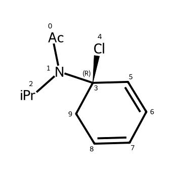 CC(=O)N(C(C)C)[C@]1(Cl)C=CC=CC1